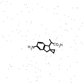 CC(C(=O)O)C1c2ccc(N)cc2CC12CC2